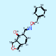 O=C1C(C=NOCc2ccccc2)C=CC2=COCC12